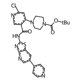 CC(C)(C)OC(=O)N1CCN(c2cc(Cl)ncc2C(=O)Nc2nc3ncc(-c4ccncc4)cc3s2)CC1